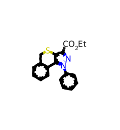 CCOC(=O)c1nn(-c2ccccc2)c2c1SCc1ccccc1-2